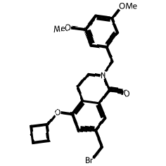 COc1cc(CN2CCc3c(OC4CCC4)cc(CBr)cc3C2=O)cc(OC)c1